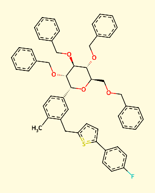 Cc1ccc([C@H]2O[C@H](COCc3ccccc3)[C@@H](OCc3ccccc3)[C@H](OCc3ccccc3)[C@H]2OCc2ccccc2)cc1Cc1ccc(-c2ccc(F)cc2)s1